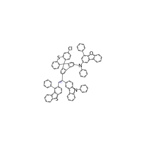 Clc1ccc2c(c1)Sc1ccccc1C21c2ccc(/C(=C/c3ccc4sc5ccccc5c4c3-c3ccccc3)c3ccc4c(c3)c3ccccc3n4-c3ccccc3)cc2-c2cc(N(c3ccccc3)c3cc(-c4ccccc4)c4oc5ccccc5c4c3)ccc21